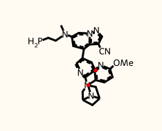 COc1ccc(CN2C3CC2CN(c2ccc(-c4cc(N(C)CCP)cn5ncc(C#N)c45)cn2)C3)cn1